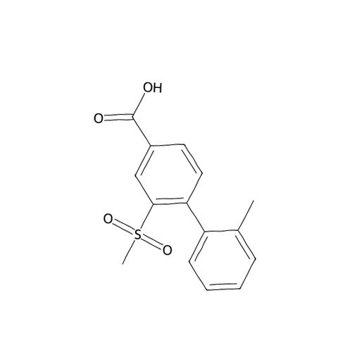 Cc1ccccc1-c1ccc(C(=O)O)cc1S(C)(=O)=O